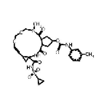 Cc1cccc(NC(=O)OC2CC3C(=O)NC4(C(=O)NS(=O)(=O)C5CC5)CC4C=CCCCCN(C)C(=O)C3C2)c1